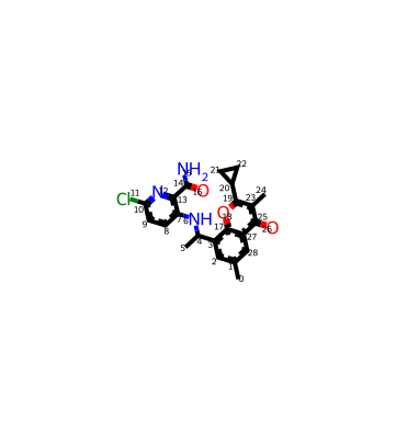 Cc1cc(C(C)Nc2ccc(Cl)nc2C(N)=O)c2oc(C3CC3)c(C)c(=O)c2c1